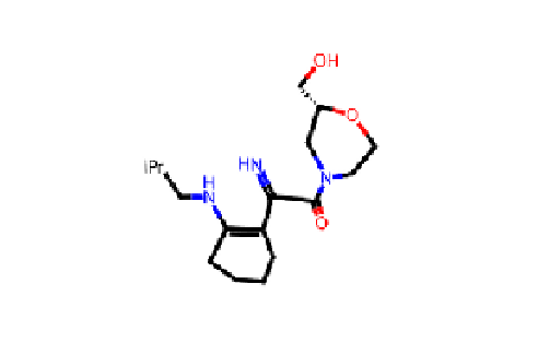 CC(C)CNC1=C(C(=N)C(=O)N2CCO[C@@H](CO)C2)CCCC1